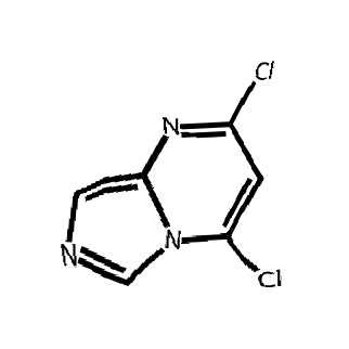 Clc1cc(Cl)n2cncc2n1